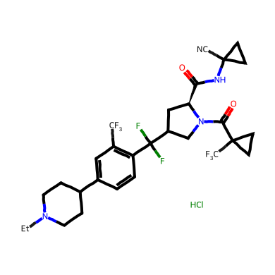 CCN1CCC(c2ccc(C(F)(F)C3C[C@@H](C(=O)NC4(C#N)CC4)N(C(=O)C4(C(F)(F)F)CC4)C3)c(C(F)(F)F)c2)CC1.Cl